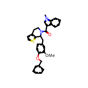 COc1cc(CC2c3sccc3CCN2C(=O)c2cn(C)c3ccccc23)ccc1OCc1ccccc1